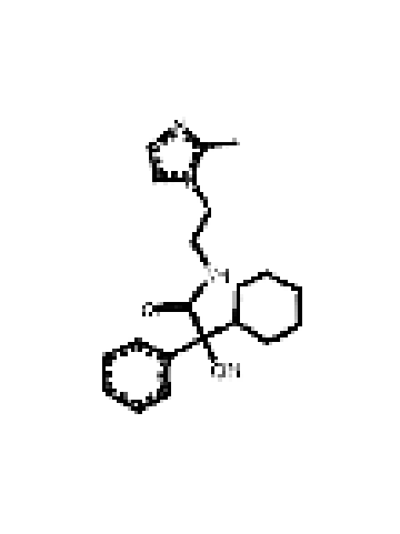 Cc1nccn1CCNC(=O)C(O)(c1ccccc1)C1CCCCC1